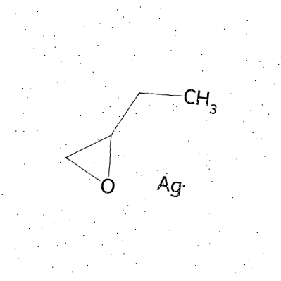 CCC1CO1.[Ag]